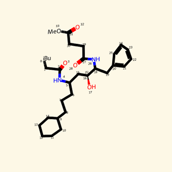 CCC(C)CC(=O)NC(CCCC1CCCCC1)C[C@H](O)C(Cc1ccccc1)NC(=O)CCC(=O)OC